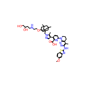 COc1ccc2sc(Nc3nnc4c(c3C)CCCN4c3ccc(-c4cnn(CC56CC7(C)CC(C)(C5)CC(OCCNCC[C@H](O)CO)(C7)C6)c4C)c(C(=O)O)n3)nc2c1